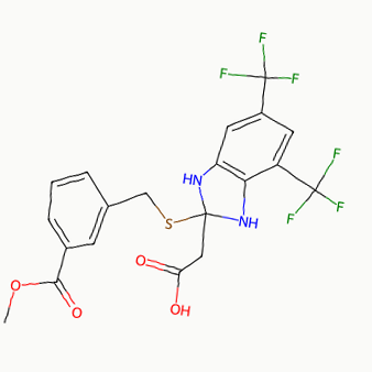 COC(=O)c1cccc(CSC2(CC(=O)O)Nc3cc(C(F)(F)F)cc(C(F)(F)F)c3N2)c1